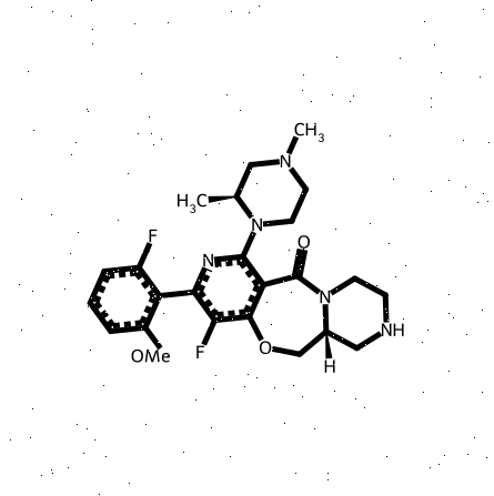 COc1cccc(F)c1-c1nc(N2CCN(C)C[C@@H]2C)c2c(c1F)OC[C@H]1CNCCN1C2=O